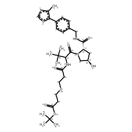 Cc1ncsc1-c1ccc(CNC(=O)[C@@H]2C[C@@H](O)CN2C(=O)C(NC(=O)CCOCCC(=O)OC(C)(C)C)C(C)(C)C)cc1